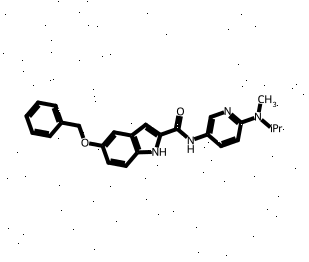 CC(C)N(C)c1ccc(NC(=O)c2cc3cc(OCc4ccccc4)ccc3[nH]2)cn1